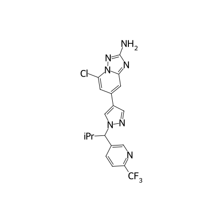 CC(C)C(c1ccc(C(F)(F)F)nc1)n1cc(-c2cc(Cl)n3nc(N)nc3c2)cn1